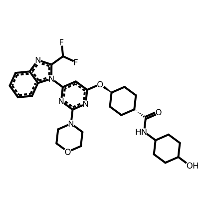 O=C(NC1CCC(O)CC1)[C@H]1CC[C@H](Oc2cc(-n3c(C(F)F)nc4ccccc43)nc(N3CCOCC3)n2)CC1